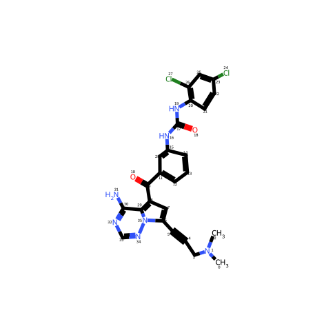 CN(C)CC#Cc1cc(C(=O)c2cccc(NC(=O)Nc3ccc(Cl)cc3Cl)c2)c2c(N)ncnn12